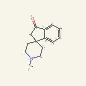 CC(C)N1CCC2(CC1)CC(=O)c1ccccc12